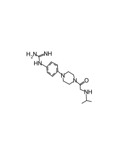 CC(C)NCC(=O)N1CCN(c2ccc(NC(=N)N)cc2)CC1